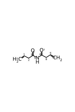 C=CCC(=O)NC(=O)CC=C